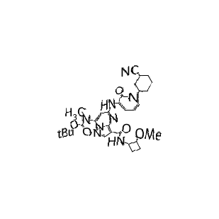 CO[C@H]1CCC1NC(=O)c1cnn2c(N(C)C(=O)OC(C)(C)C)cc(Nc3cccn([C@@H]4CCC[C@H](C#N)C4)c3=O)nc12